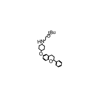 CC(C)(C)OCCNC1CCC(Oc2ccc3c(c2)CCC(c2ccccc2)O3)CC1